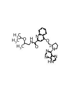 CC(C)OC(C)CNC(=O)c1cc(OC[C@H]2CCCN2c2ncnc3[nH]cnc23)c2ccccc2n1